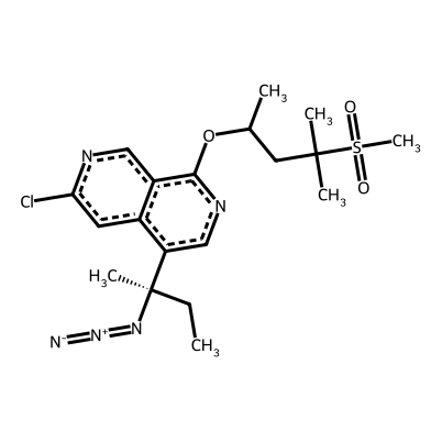 CC[C@@](C)(N=[N+]=[N-])c1cnc(OC(C)CC(C)(C)S(C)(=O)=O)c2cnc(Cl)cc12